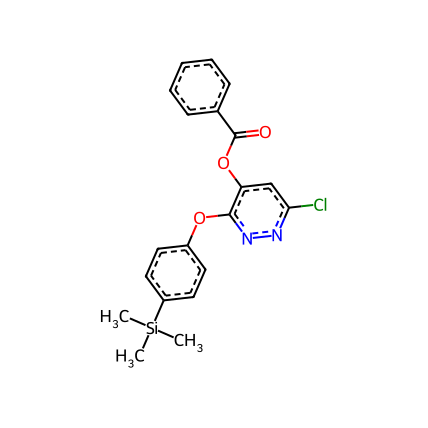 C[Si](C)(C)c1ccc(Oc2nnc(Cl)cc2OC(=O)c2ccccc2)cc1